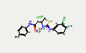 CC(C)c1ccc(NC(=O)CC2CS/C(=N\c3ccc(F)c(Cl)c3)N2C)cc1.Cl